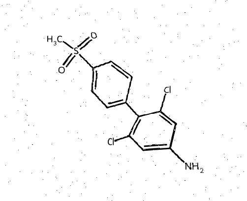 CS(=O)(=O)c1ccc(-c2c(Cl)cc(N)cc2Cl)cc1